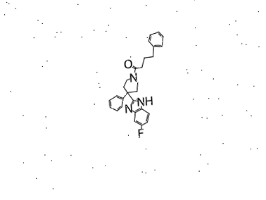 O=C(CCCc1ccccc1)N1CCC(c2ccccc2)(c2nc3cc(F)ccc3[nH]2)CC1